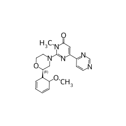 COC1C=CC=CC1[C@@H]1CN(c2nc(-c3ccncn3)cc(=O)n2C)CCO1